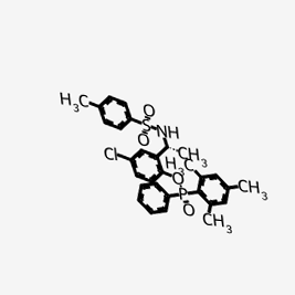 Cc1ccc(S(=O)(=O)N[C@H](C)c2cc(Cl)ccc2O[P@](=O)(c2ccccc2)c2c(C)cc(C)cc2C)cc1